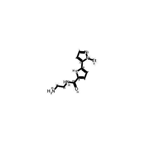 CCn1nccc1-c1ccc(C(=O)NCCN)s1